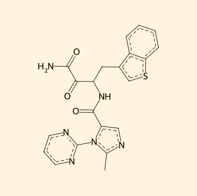 Cc1ncc(C(=O)NC(Cc2csc3ccccc23)C(=O)C(N)=O)n1-c1ncccn1